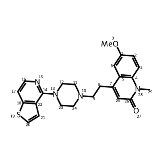 COc1ccc2c(c1)c(CCN1CCN(c3nccc4sccc34)CC1)cc(=O)n2C